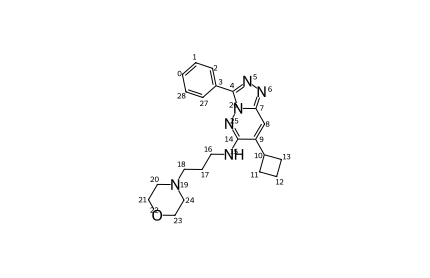 c1ccc(-c2nnc3cc(C4CCC4)c(NCCCN4CCOCC4)nn23)cc1